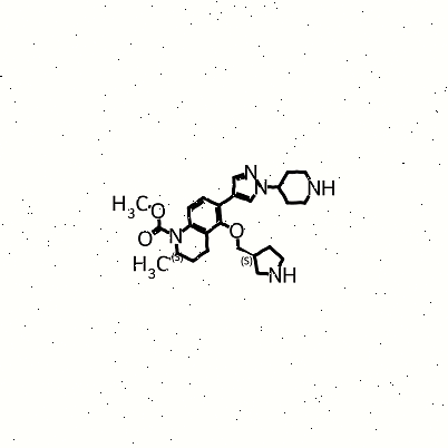 COC(=O)N1c2ccc(-c3cnn(C4CCNCC4)c3)c(OC[C@H]3CCNC3)c2CC[C@@H]1C